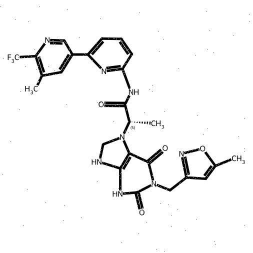 Cc1cc(Cn2c(=O)[nH]c3c(c2=O)N([C@@H](C)C(=O)Nc2cccc(-c4cnc(C(F)(F)F)c(C)c4)n2)CN3)no1